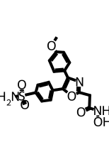 COc1ccc(-c2nc(CC(=O)NO)oc2-c2ccc(S(N)(=O)=O)cc2)cc1